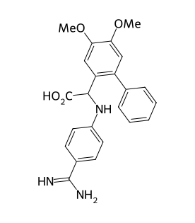 COc1cc(-c2ccccc2)c(C(Nc2ccc(C(=N)N)cc2)C(=O)O)cc1OC